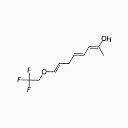 C/C(O)=C\C=CC/C=C/OCC(F)(F)F